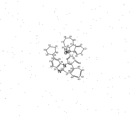 C=CC1=C(/C=C(\C)[PH](O)(C2=CCCC=C2)C2CCCCCC2)n2c(nc3ccc(C4CCCCC4)cc32)CC2=C1CC=CC=C2